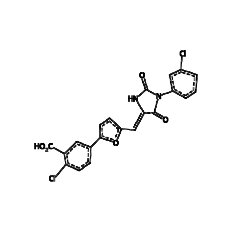 O=C(O)c1cc(-c2ccc(/C=C3\NC(=O)N(c4cccc(Cl)c4)C3=O)o2)ccc1Cl